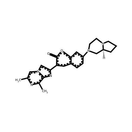 Cc1cn2cc(-c3cc4ccc(N5CCN6CCC[C@H]6C5)cc4oc3=O)nc2c(C)n1